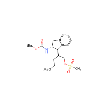 COCCC(COS(C)(=O)=O)[C@@H]1c2ccccc2C[C@H]1NC(=O)OC(C)(C)C